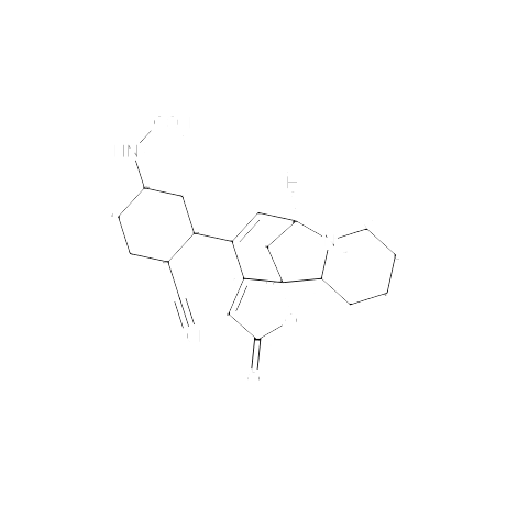 C#CC1CCC(NC(=O)O)CC1C1=C[C@@H]2C[C@@]3(OC(=O)C=C13)C1CCCCN12